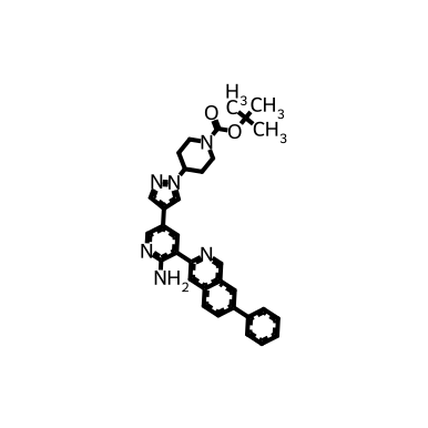 CC(C)(C)OC(=O)N1CCC(n2cc(-c3cnc(N)c(-c4cc5ccc(-c6ccccc6)cc5cn4)c3)cn2)CC1